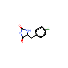 O=C1NC(=O)C(Cc2ccc(Cl)cc2)N1